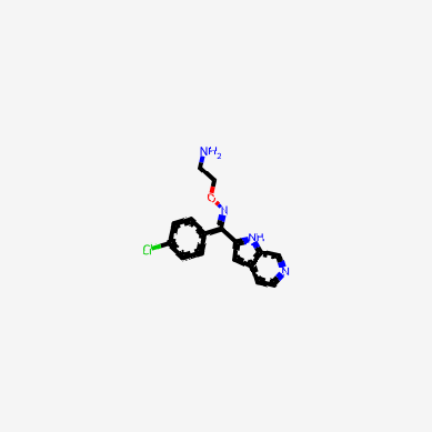 NCCO/N=C(\c1ccc(Cl)cc1)c1cc2ccncc2[nH]1